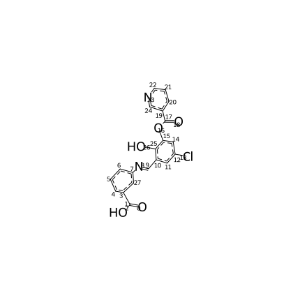 O=C(O)c1cccc(N=Cc2cc(Cl)cc(OC(=O)c3cccnc3)c2O)c1